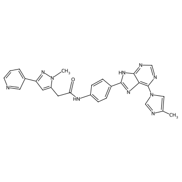 Cc1cn(-c2ncnc3[nH]c(-c4ccc(NC(=O)Cc5cc(-c6cccnc6)nn5C)cc4)nc23)cn1